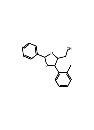 Cc1ccccc1C1OC(c2ccccc2)OC1CO